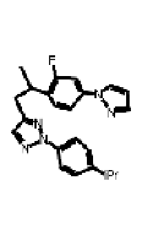 CC(C)c1ccc(-n2ncc(CC(C)c3ccc(-n4cccn4)cc3F)n2)cc1